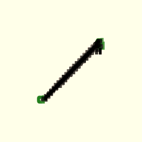 ClCCCCCCCCCCCCCCCCCCCCCCCCCCCCCCCCCCCCCCCC[SiH](Cl)Cl